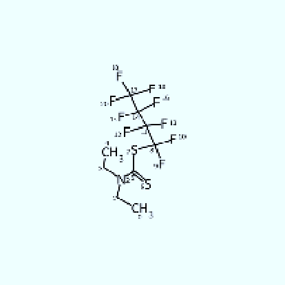 CCN(CC)C(=S)SC(F)(F)C(F)(F)C(F)(F)C(F)(F)F